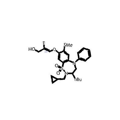 CCCCC1CN(c2ccccc2)c2cc(SC)c(O/C=C(\F)CO)cc2S(=O)(=O)N1CC1CC1